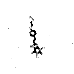 CCn1c(=O)c2[nH]c(C=Cc3ccc(OCCOC(C)C)nc3)nc2n(CC)c1=O